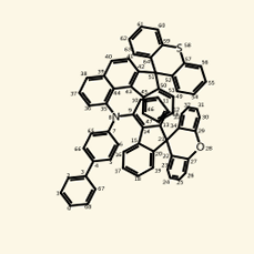 c1ccc(-c2ccc(N(c3cccc4c3-c3ccccc3C43c4ccccc4Oc4ccccc43)c3cccc4ccc5c(c34)-c3ccccc3C53c4ccccc4Sc4ccccc43)cc2)cc1